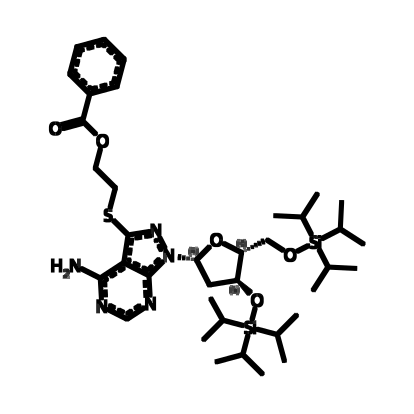 CC(C)[Si](OC[C@H]1O[C@@H](n2nc(SCCOC(=O)c3ccccc3)c3c(N)ncnc32)C[C@@H]1O[Si](C(C)C)(C(C)C)C(C)C)(C(C)C)C(C)C